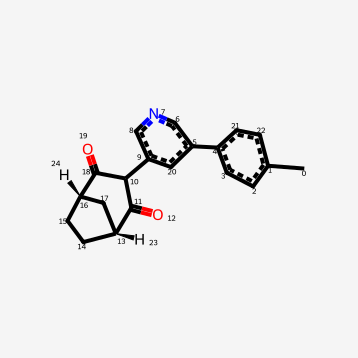 Cc1ccc(-c2cncc(C3C(=O)[C@@H]4CC[C@@H](C4)C3=O)c2)cc1